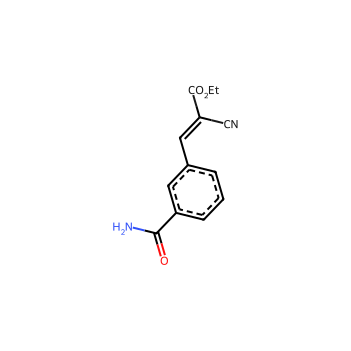 CCOC(=O)/C(C#N)=C/c1cccc(C(N)=O)c1